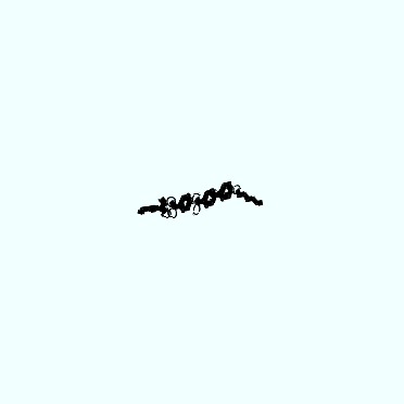 CCC#CC(=O)C(C)OC(=O)c1ccc(OC(=O)c2ccc(-c3ccc(OCCCCCC)cc3)cc2)cc1